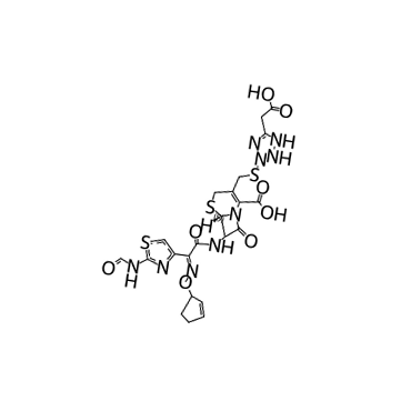 O=CNc1nc(C(=NOC2C=CCC2)C(=O)NC2C(=O)N3C(C(=O)O)=C(CSN4N=C(CC(=O)O)NN4)CS[C@@H]23)cs1